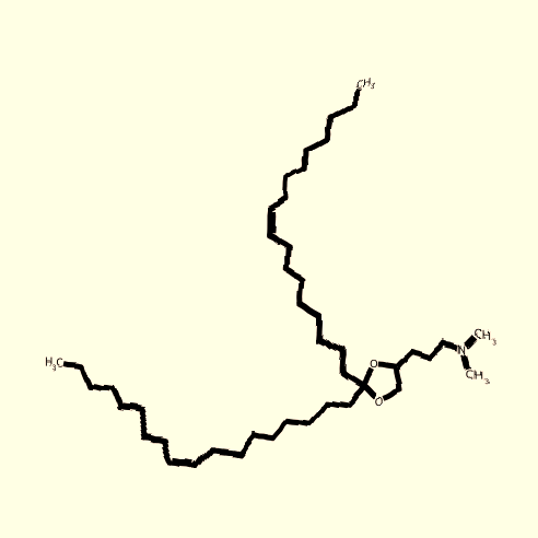 CCCCCCCC/C=C\CCCCCCCCC1(CCCCCCCC/C=C\CCCCCCCC)OCC(CCCN(C)C)O1